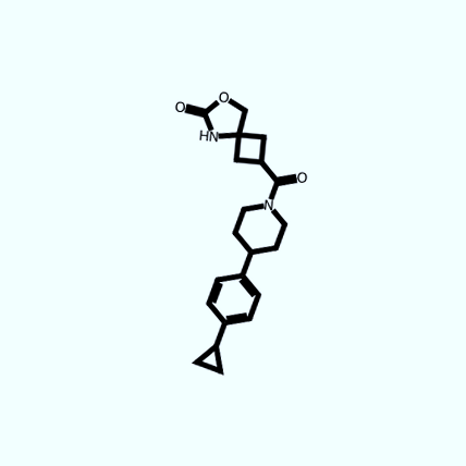 O=C1NC2(CO1)CC(C(=O)N1CCC(c3ccc(C4CC4)cc3)CC1)C2